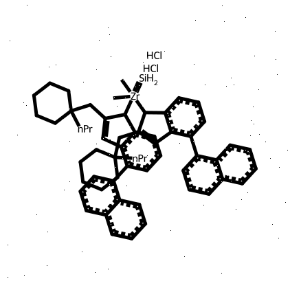 CCCC1(CC2=Cc3c(-c4cccc5ccccc45)cccc3[CH]2[Zr]([CH3])([CH3])(=[SiH2])[CH]2C(CC3(CCC)CCCCC3)=Cc3c(-c4cccc5ccccc45)cccc32)CCCCC1.Cl.Cl